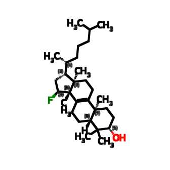 CC(C)CCC[C@@H](C)[C@H]1C[C@H](F)[C@@]2(C)C3=C(CC[C@]12C)[C@@]1(C)CC[C@H](O)C(C)(C)[C@@H]1CC3